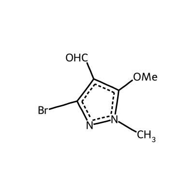 COc1c(C=O)c(Br)nn1C